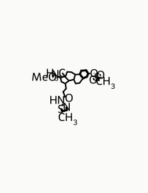 CO/N=C1\CC(CCC(=O)Nc2ncc(C)s2)C2C3CCc4cc(OS(C)(=O)=O)ccc4C3CCC12C